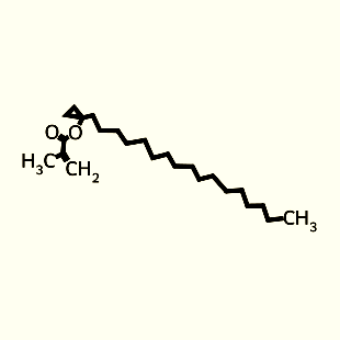 C=C(C)C(=O)OC1(CCCCCCCCCCCCCCCCC)CC1